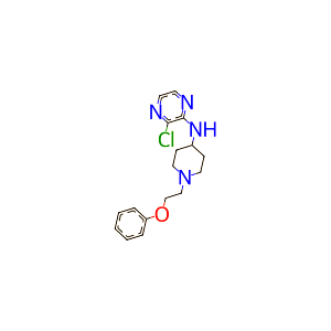 Clc1nccnc1NC1CCN(CCOc2ccccc2)CC1